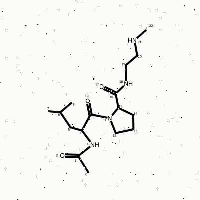 CC(=O)NC(CC(C)C)C(=O)N1CCCC1C(=O)NCCNI